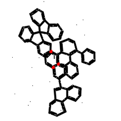 c1ccc(-c2ccccc2-c2c(-c3ccccc3)cccc2N(c2ccc(-c3cc4ccccc4c4ccccc34)cc2)c2ccc3c(c2)C2(c4ccccc4-c4ccccc42)c2ccccc2-3)cc1